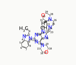 CCc1nc2ccccc2n1-c1nc(N2CCOCC2)c2nc(CN3CCN4CCOC[C@H]4C3)n(C)c2n1